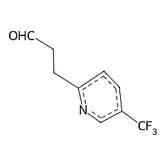 O=CCCc1ccc(C(F)(F)F)cn1